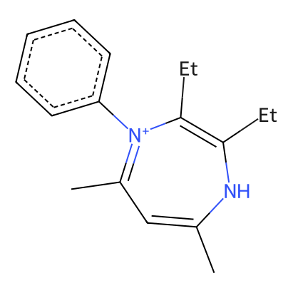 CCC1=C(CC)[N+](c2ccccc2)=C(C)C=C(C)N1